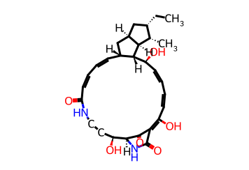 CC[C@H]1C[C@@H]2C[C@H]3/C=C\C=C/C(=O)NCC[C@H](O)[C@@H]4NC(=O)/C(=C(O)/C=C\C=C/[C@H](O)[C@H]3[C@@H]2[C@H]1C)C4=O